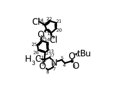 CC(C)(C)OC(=O)CCN1CCOC(C)(c2ccc(Oc3c(Cl)cccc3Cl)cc2)C1